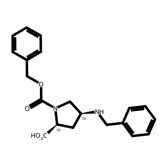 O=C(O)[C@@H]1C[C@H](NCc2ccccc2)CN1C(=O)OCc1ccccc1